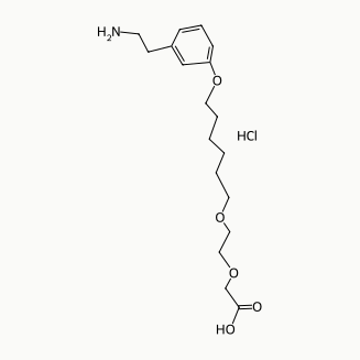 Cl.NCCc1cccc(OCCCCCCOCCOCC(=O)O)c1